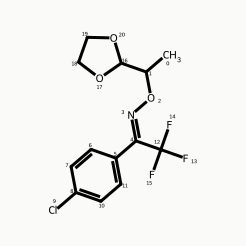 CC(ON=C(c1ccc(Cl)cc1)C(F)(F)F)C1OCCO1